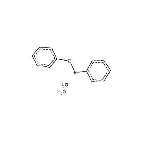 O.O.[B](Oc1ccccc1)c1ccccc1